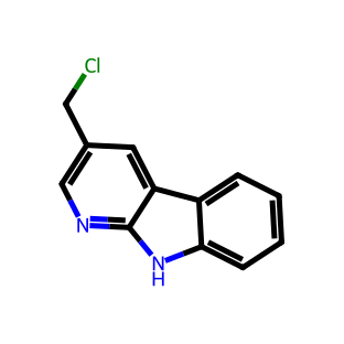 ClCc1cnc2[nH]c3ccccc3c2c1